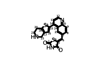 O=C1NC(=O)C(=Cc2ccc3nccc(-c4cc5c(s4)CCNC5)c3c2)S1